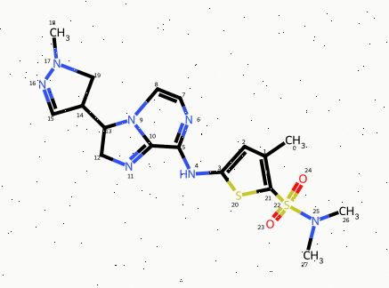 Cc1cc(NC2=NC=CN3C2=NCC3C2C=NN(C)C2)sc1S(=O)(=O)N(C)C